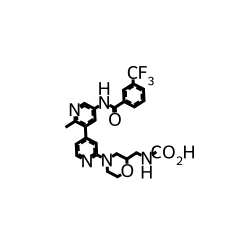 Cc1ncc(NC(=O)c2cccc(C(F)(F)F)c2)cc1-c1ccnc(N2CCOC(CNC(=O)O)C2)c1